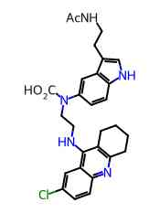 CC(=O)NCCc1c[nH]c2ccc(N(CCNc3c4c(nc5ccc(Cl)cc35)CCCC4)C(=O)O)cc12